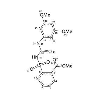 COC(=O)c1cccnc1S(=O)(=O)NC(=O)Nc1nc(OC)cc(OC)n1